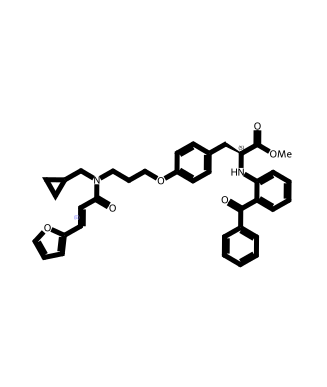 COC(=O)[C@H](Cc1ccc(OCCCN(CC2CC2)C(=O)/C=C/c2ccco2)cc1)Nc1ccccc1C(=O)c1ccccc1